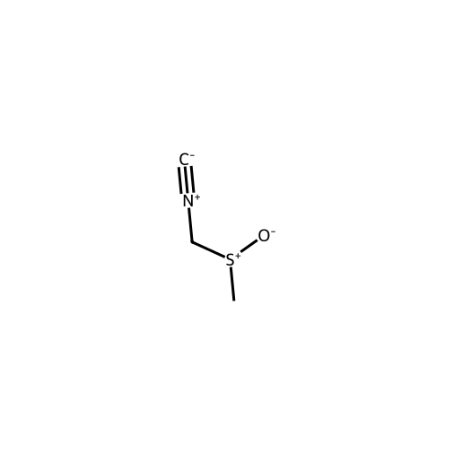 [C-]#[N+]C[S+](C)[O-]